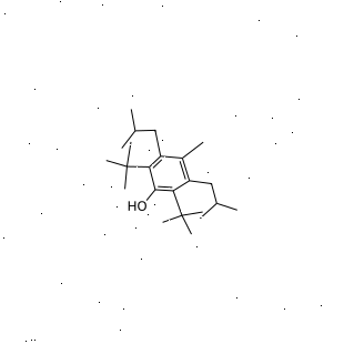 Cc1c(CC(C)C)c(C(C)(C)C)c(O)c(C(C)(C)C)c1CC(C)C